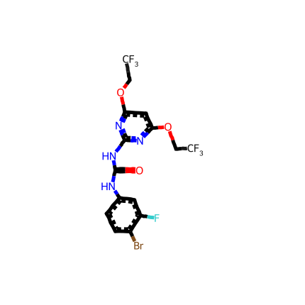 O=C(Nc1ccc(Br)c(F)c1)Nc1nc(OCC(F)(F)F)cc(OCC(F)(F)F)n1